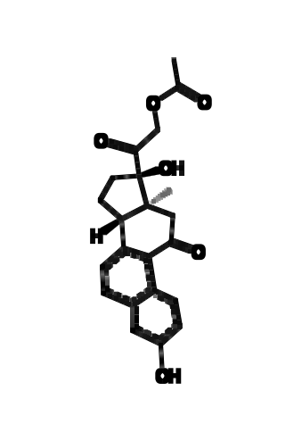 CC(=O)OCC(=O)[C@@]1(O)CC[C@H]2c3ccc4cc(O)ccc4c3C(=O)C[C@@]21C